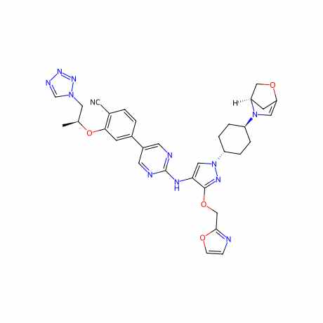 C[C@@H](Cn1cnnn1)Oc1cc(-c2cnc(Nc3cn([C@H]4CC[C@H](N5C=C6C[C@@H]5CO6)CC4)nc3OCc3ncco3)nc2)ccc1C#N